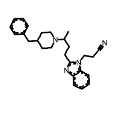 CC(CCc1nc2ccccc2n1CCC#N)N1CCC(Cc2ccccc2)CC1